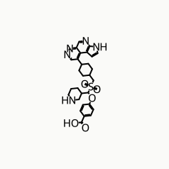 O=C(O)c1ccc(OC(C2CCCNC2)S(=O)(=O)CC2CCC(c3cnnc4cnc5[nH]ccc5c34)CC2)cc1